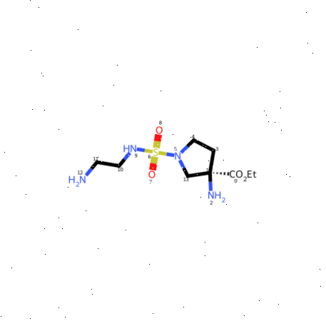 CCOC(=O)[C@@]1(N)CCN(S(=O)(=O)NCCN)C1